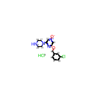 Cl.[O-][n+]1cc(OCc2cccc(Cl)c2)nc(N2CCNCC2)c1